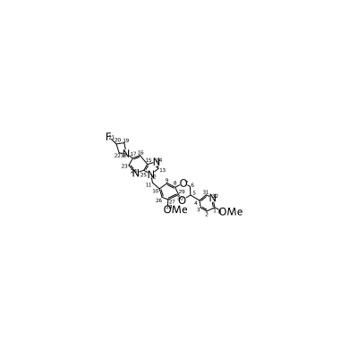 COc1ccc(C2COc3cc(Cn4cnc5cc(N6CC(F)C6)cnc54)cc(OC)c3O2)cn1